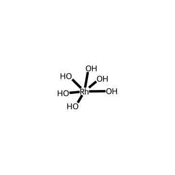 [OH][Rh]([OH])([OH])([OH])([OH])[OH]